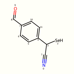 N#CC([SeH])c1ccc([C]=O)cc1